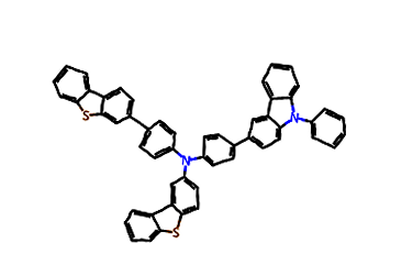 c1ccc(-n2c3ccccc3c3cc(-c4ccc(N(c5ccc(-c6ccc7c(c6)sc6ccccc67)cc5)c5ccc6sc7ccccc7c6c5)cc4)ccc32)cc1